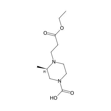 CCOC(=O)CCN1CCN(C(=O)O)C[C@H]1C